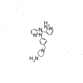 Nc1ncccc1-c1nc2cccnc2n1-c1ccc(CN2CCC(N)CC2)cc1